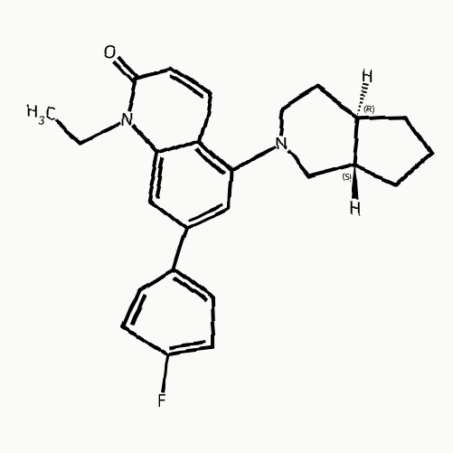 CCn1c(=O)ccc2c(N3CC[C@H]4CCC[C@@H]4C3)cc(-c3ccc(F)cc3)cc21